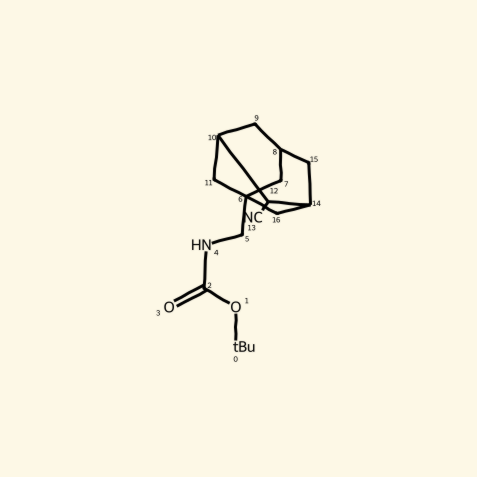 CC(C)(C)OC(=O)NCC12CC3CC(C1)C(C#N)C(C3)C2